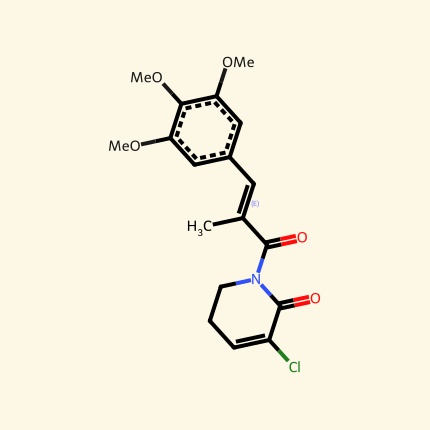 COc1cc(/C=C(\C)C(=O)N2CCC=C(Cl)C2=O)cc(OC)c1OC